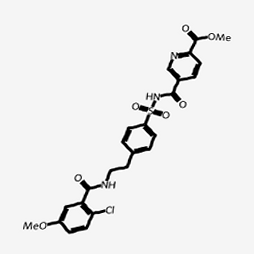 COC(=O)c1ccc(C(=O)NS(=O)(=O)c2ccc(CCNC(=O)c3cc(OC)ccc3Cl)cc2)cn1